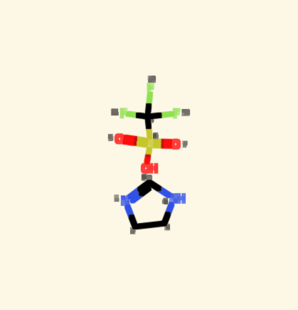 C1=NCCN1.O=S(=O)(O)C(F)(F)F